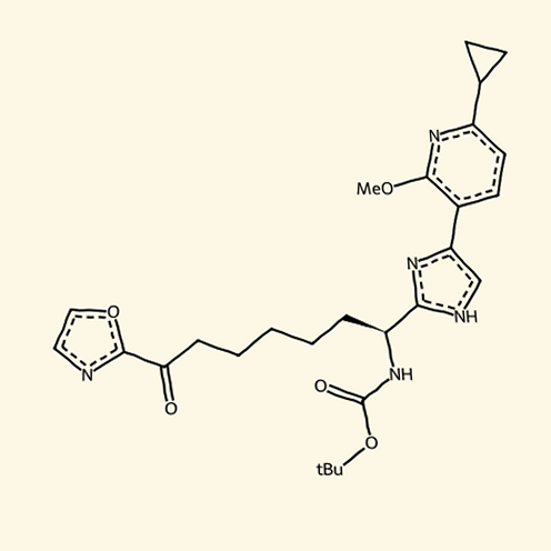 COc1nc(C2CC2)ccc1-c1c[nH]c([C@H](CCCCCC(=O)c2ncco2)NC(=O)OC(C)(C)C)n1